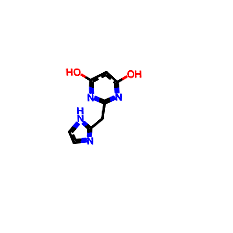 Oc1cc(O)nc(Cc2ncc[nH]2)n1